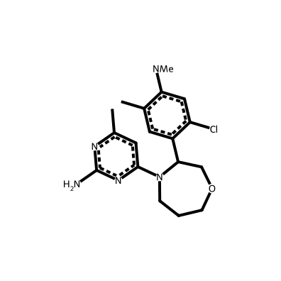 CNc1cc(Cl)c(C2COCCCN2c2cc(C)nc(N)n2)cc1C